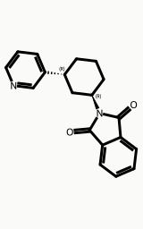 O=C1c2ccccc2C(=O)N1[C@@H]1CCC[C@@H](c2cccnc2)C1